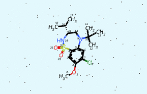 COc1cc2c(cc1Cl)N(C(C)(C)C)C[C@@H](C(C)C)NS2(=O)=O